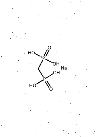 O=P(O)(O)CP(=O)(O)O.[Na]